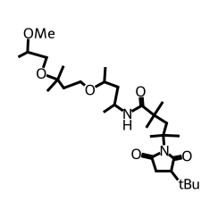 COC(C)COC(C)(C)CCOC(C)CC(C)NC(=O)C(C)(C)CC(C)(C)N1C(=O)CC(C(C)(C)C)C1=O